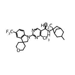 CC1CC2CC(C1)C(NC(=O)c1cnc(N3CC4(CCOCC4)c4cc(C(F)(F)F)ccc43)nc1C(F)(F)F)(C(=O)O)C2